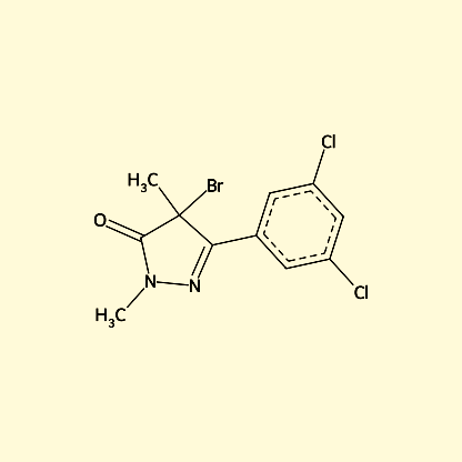 CN1N=C(c2cc(Cl)cc(Cl)c2)C(C)(Br)C1=O